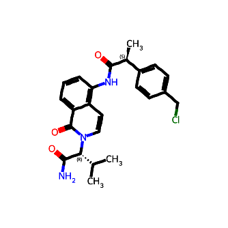 CC(C)[C@H](C(N)=O)n1ccc2c(NC(=O)[C@@H](C)c3ccc(CCl)cc3)cccc2c1=O